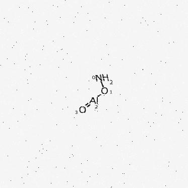 N[O][Al]=[O]